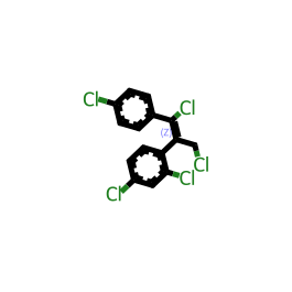 ClC/C(=C(\Cl)c1ccc(Cl)cc1)c1ccc(Cl)cc1Cl